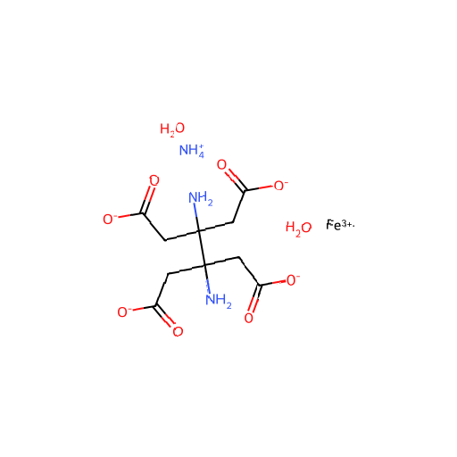 NC(CC(=O)[O-])(CC(=O)[O-])C(N)(CC(=O)[O-])CC(=O)[O-].O.O.[Fe+3].[NH4+]